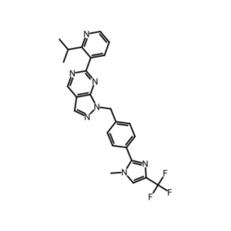 CC(C)c1ncccc1-c1ncc2cnn(Cc3ccc(-c4nc(C(F)(F)F)cn4C)cc3)c2n1